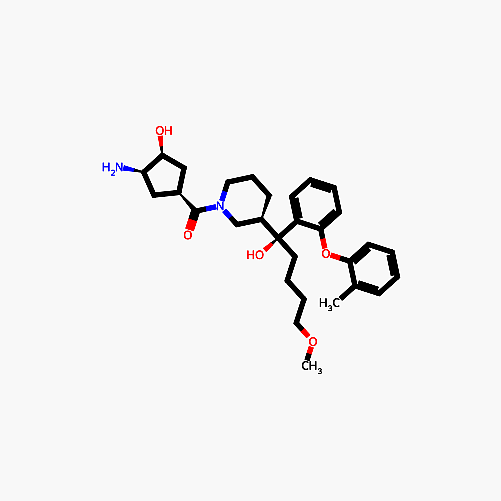 COCCCC[C@@](O)(c1ccccc1Oc1ccccc1C)[C@@H]1CCCN(C(=O)[C@H]2C[C@@H](N)[C@@H](O)C2)C1